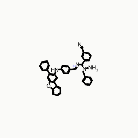 N#Cc1cccc(C(/N=C/c2ccc(Nc3cc4c(cc3-c3ccccc3)oc3ccccc34)cc2)N(N)Cc2ccccc2)c1